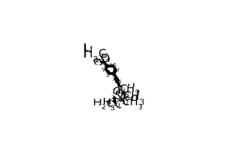 C=CC[Si](OCC#Cc1ccc(C(=O)OC)cc1)(C(C)C)C(C)C